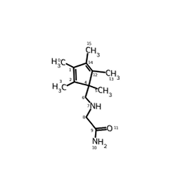 CC1=C(C)C(C)(CNCC(N)=O)C(C)=C1C